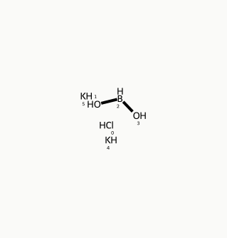 Cl.OBO.[KH].[KH]